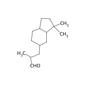 CC(C=O)CC1CCC2CCC(C)(C)C2C1